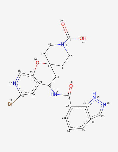 O=C(NC1CC2(CCN(C(=O)O)CC2)Oc2cnc(Br)cc21)c1cccc2cn[nH]c12